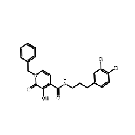 O=C(NCCCc1ccc(Cl)c(Cl)c1)c1ccn(Cc2ccccc2)c(=O)c1O